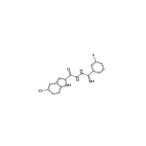 N=C(NNC(=O)c1cc2cc(Cl)ccc2[nH]1)c1cccc(F)c1